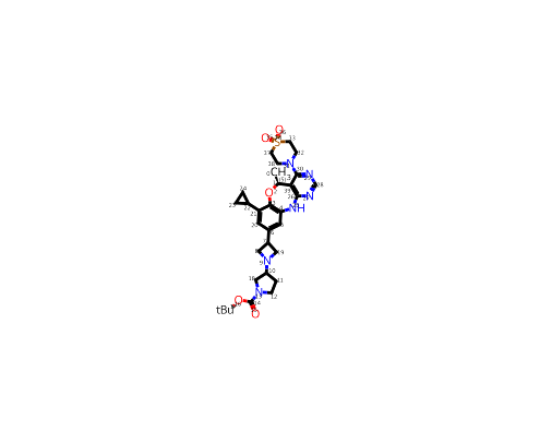 C[C@@H]1Oc2c(cc(C3CN(C4CCN(C(=O)OC(C)(C)C)C4)C3)cc2C2CC2)Nc2ncnc(N3CCS(=O)(=O)CC3)c21